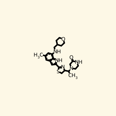 Cc1cc(NCC2CCOCC2)c2[nH]c(C3=NC(C(C)N4CCNC(=O)C4)CS3)cc2c1